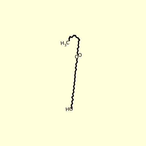 CC/C=C\C/C=C\C/C=C\CCCCCCCC(=O)OCCCCCCCCCCCCCCCCCCCCCCCCCCCO